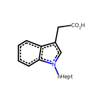 CCCCCCCn1cc(CC(=O)O)c2ccccc21